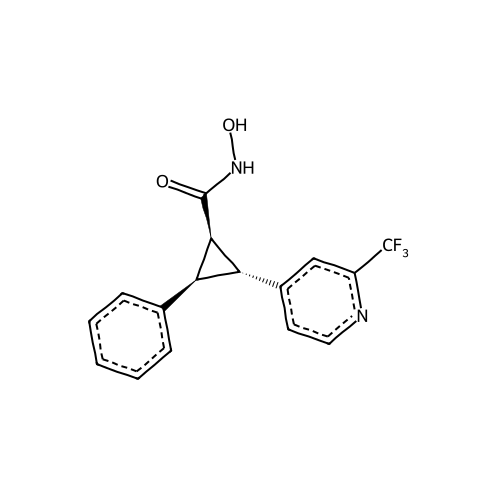 O=C(NO)[C@@H]1[C@H](c2ccccc2)[C@H]1c1ccnc(C(F)(F)F)c1